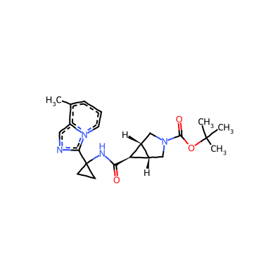 Cc1cccn2c(C3(NC(=O)[C@H]4[C@@H]5CN(C(=O)OC(C)(C)C)C[C@@H]54)CC3)ncc12